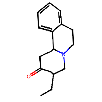 CCC1CN2CCc3ccccc3C2CC1=O